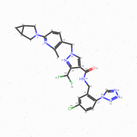 Cc1nc(N2CC3CC3C2)ccc1Cn1cc(C(=O)NCc2cc(Cl)ccc2-n2cnnn2)c(C(F)F)n1